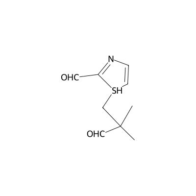 CC(C)(C=O)C[SH]1C=CN=C1C=O